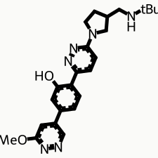 COc1cc(-c2ccc(-c3ccc(N4CCC(CNC(C)(C)C)C4)nn3)c(O)c2)cnn1